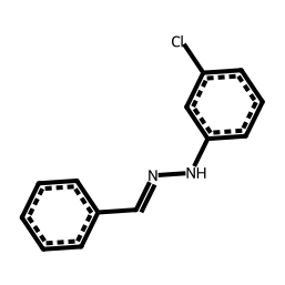 Clc1cccc(NN=Cc2ccccc2)c1